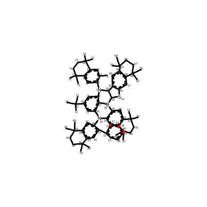 Cc1cc2c(cc1N1c3cc(C(C)(C)C)cc4c3B(c3cc5c(cc3N4c3cc4c(cc3-c3ccccc3)C(C)(C)CCC4(C)C)C(C)(C)CCC5(C)C)C3Sc4cc5c(cc4C31)C(C)(C)CCC5(C)C)C(C)(C)CCC2(C)C